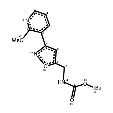 COc1ncccc1-c1cc(CNC(=O)OC(C)(C)C)on1